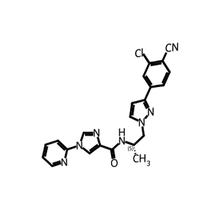 C[C@@H](Cn1ccc(-c2ccc(C#N)c(Cl)c2)n1)NC(=O)c1cn(-c2ccccn2)cn1